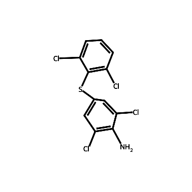 Nc1c(Cl)cc(Sc2c(Cl)cccc2Cl)cc1Cl